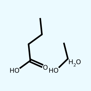 CCCC(=O)O.CCO.O